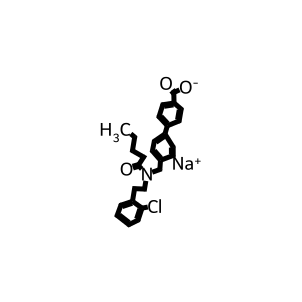 CCCCC(=O)N(CCc1ccccc1Cl)Cc1ccc(-c2ccc(C(=O)[O-])cc2)cc1.[Na+]